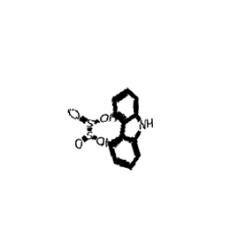 O=S(O)S(=O)O.c1ccc2c(c1)[nH]c1ccccc12